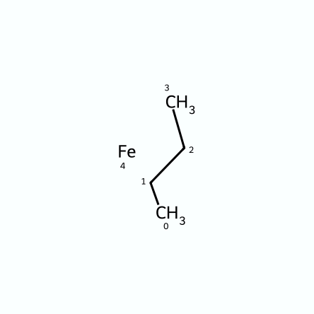 CCCC.[Fe]